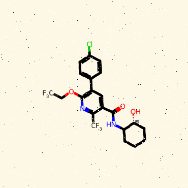 O=C(NC1CCCC[C@H]1O)c1cc(-c2ccc(Cl)cc2)c(OCC(F)(F)F)nc1C(F)(F)F